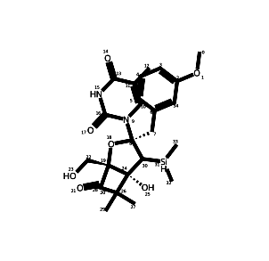 COc1cccc(C[C@@]2(n3cc(C)c(=O)[nH]c3=O)O[C@](C=O)(CO)[C@](O)(C(C)(C)C)C2[SiH](C)C)c1